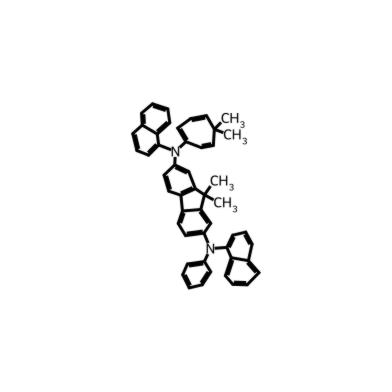 CC1(C)C=CC=C(N(c2ccc3c(c2)C(C)(C)c2cc(N(c4ccccc4)c4cccc5ccccc45)ccc2-3)c2cccc3ccccc23)C=C1